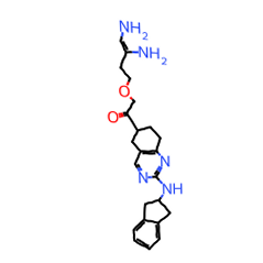 N/C=C(\N)CCOCC(=O)C1CCc2nc(NC3Cc4ccccc4C3)ncc2C1